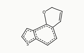 C1=Cc2ccc3sccc3c2OC1